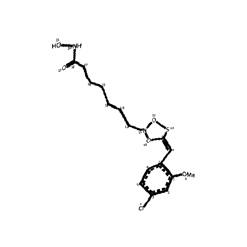 COc1cc(Cl)ccc1C=C1ON(CCCCCCC(=O)NO)OS1